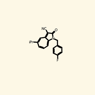 CC(C)c1cccc2n(Cc3ccc(F)cc3)c(=O)c(C#N)c-2c1